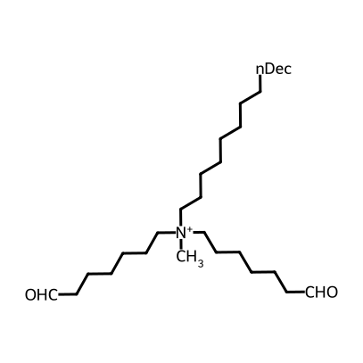 CCCCCCCCCCCCCCCCCC[N+](C)(CCCCCCC=O)CCCCCCC=O